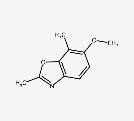 COc1ccc2nc(C)oc2c1C